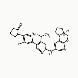 CC(C)c1cc(Nc2cnc3c(c2)N2CCC[C@H]2CO3)ncc1-c1ccc(N2CCCC2=O)c(F)c1